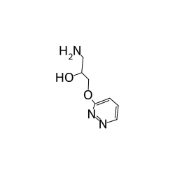 NCC(O)COc1cccnn1